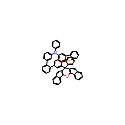 c1ccc(N(c2cccc(-c3ccccc3-c3ccc4c(c3)C3(c5ccccc5-4)c4ccc5ccccc5c4Oc4c3ccc3ccccc43)c2)c2ccc3sc4ccccc4c3c2)cc1